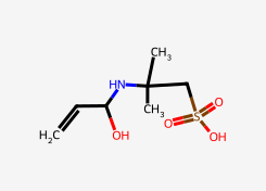 C=CC(O)NC(C)(C)CS(=O)(=O)O